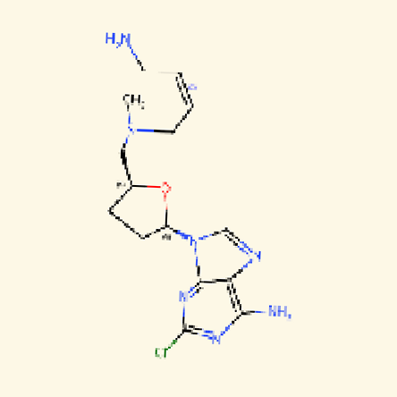 CN(C/C=C\CN)C[C@@H]1CC[C@H](n2cnc3c(N)nc(Cl)nc32)O1